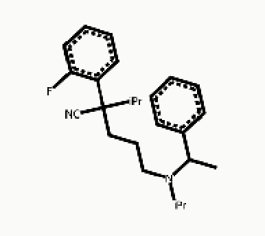 CC(C)N(CCCC(C#N)(c1ccccc1F)C(C)C)C(C)c1ccccc1